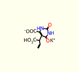 C=CC(C(=O)O)c1c(C(=O)[O-])[nH]c(=O)[nH]c1=O.[K+]